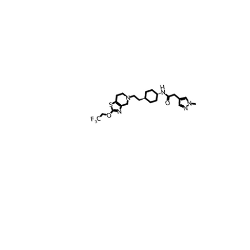 Cn1cc(CC(=O)N[C@H]2CC[C@H](CCN3CCc4sc(OCC(F)(F)F)nc4C3)CC2)cn1